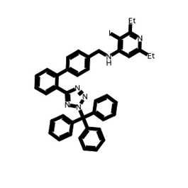 CCc1cc(NCc2ccc(-c3ccccc3-c3nnn(C(c4ccccc4)(c4ccccc4)c4ccccc4)n3)cc2)c(I)c(CC)n1